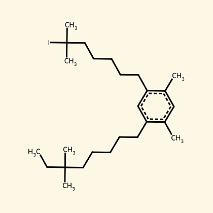 CCC(C)(C)CCCCCc1cc(CCCCCC(C)(C)I)c(C)cc1C